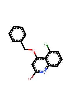 Clc1cccc2nc(Br)cc(OCc3ccccc3)c12